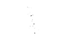 NC(COP(=O)(O)O)C(=O)OCOC(=O)C(N)COP(=O)(O)O